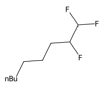 CCCCCCCC(F)[C](F)F